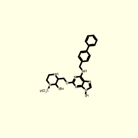 CC(C)n1cnc2c(NCc3ccc(-c4ccccc4)cc3)nc(OCC3NCCN(C(=O)O)C3C(C)(C)C)nc21